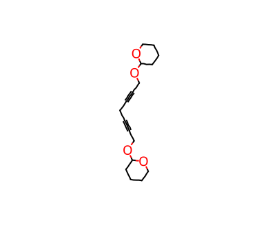 C(#CCOC1CCCCO1)CC#CCOC1CCCCO1